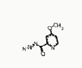 COc1ccnc(C(=O)N=[N+]=[N-])c1